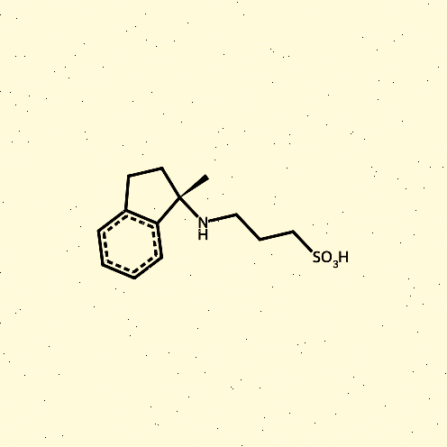 C[C@]1(NCCCS(=O)(=O)O)CCc2ccccc21